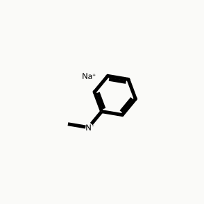 C[N-]c1ccccc1.[Na+]